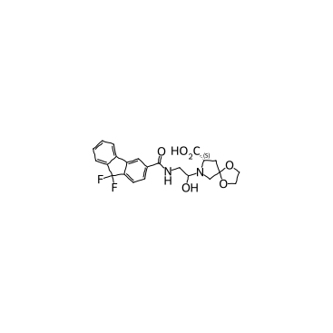 O=C(NCC(O)N1CC2(C[C@H]1C(=O)O)OCCO2)c1ccc2c(c1)-c1ccccc1C2(F)F